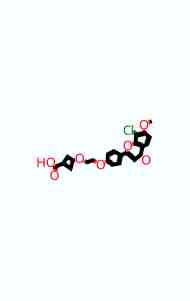 COc1ccc2c(=O)cc(-c3ccc(OCCOC4CC(C(=O)O)C4)cc3)oc2c1Cl